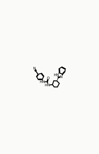 N#Cc1ccc(NC(=O)NC2CCC[C@H](c3nc4ccccc4[nH]3)C2)cc1